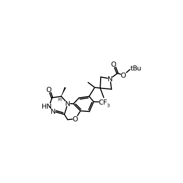 CC(c1cc2c(cc1C(F)(F)F)OCC1=NNC(=O)[C@@H](C)N12)C1(C)CN(C(=O)OC(C)(C)C)C1